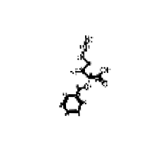 [N-]=[N+]=NC[C@H](F)[C@@H](OCc1ccccc1)C(=O)O